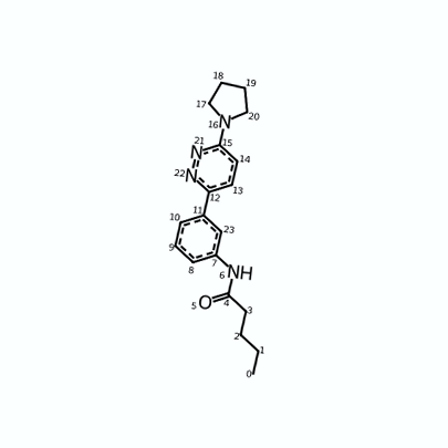 CCCCC(=O)Nc1cccc(-c2ccc(N3CCCC3)nn2)c1